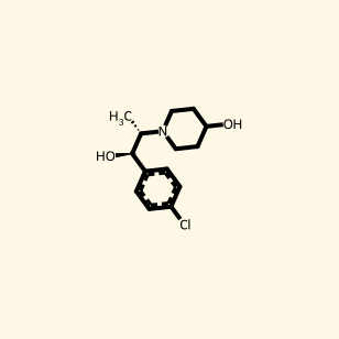 C[C@@H]([C@H](O)c1ccc(Cl)cc1)N1CCC(O)CC1